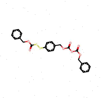 O=C(OCc1ccccc1)OC(=O)OCc1ccc(SSC(=O)OCc2ccccc2)cc1